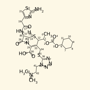 CC(OC(=O)OC1CCCCC1)C1S[C@@H]2[C@H](NC(=O)Cc3csc(N)n3)C(=O)N2C(C(=O)O)=C1CSc1nnnn1CCN(C)C